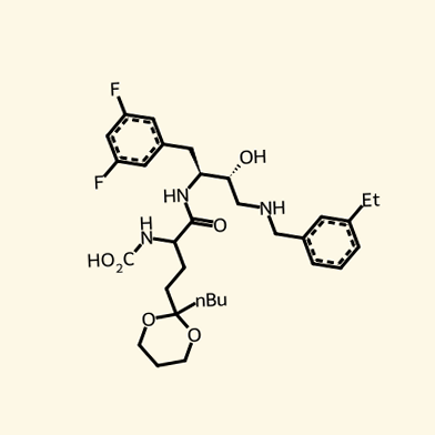 CCCCC1(CCC(NC(=O)O)C(=O)N[C@@H](Cc2cc(F)cc(F)c2)[C@H](O)CNCc2cccc(CC)c2)OCCCO1